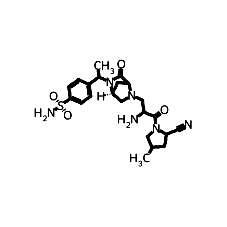 CC1CC(C#N)N(C(=O)C(N)CN2C[C@@H]3CC2C(=O)N3C(C)c2ccc(S(N)(=O)=O)cc2)C1